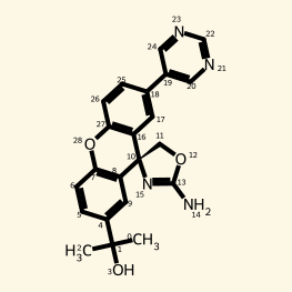 CC(C)(O)c1ccc2c(c1)[C@]1(COC(N)=N1)c1cc(-c3cncnc3)ccc1O2